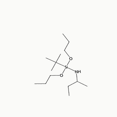 CCCO[Si](NC(C)CC)(OCCC)C(C)(C)C